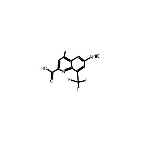 [C-]#[N+]c1cc(C(F)(F)F)c2nc(C(=O)O)cc(C)c2c1